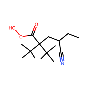 CCC(C#N)CC(C(=O)OO)(C(C)(C)C)C(C)(C)C